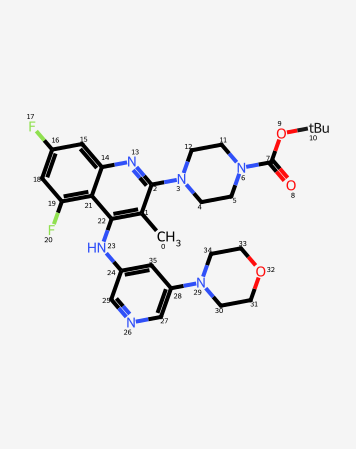 Cc1c(N2CCN(C(=O)OC(C)(C)C)CC2)nc2cc(F)cc(F)c2c1Nc1cncc(N2CCOCC2)c1